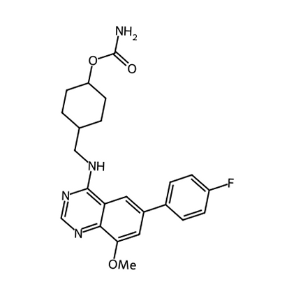 COc1cc(-c2ccc(F)cc2)cc2c(NCC3CCC(OC(N)=O)CC3)ncnc12